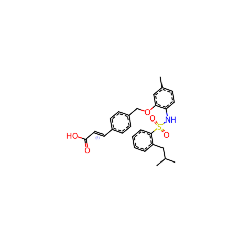 Cc1ccc(NS(=O)(=O)c2ccccc2CC(C)C)c(OCc2ccc(/C=C/C(=O)O)cc2)c1